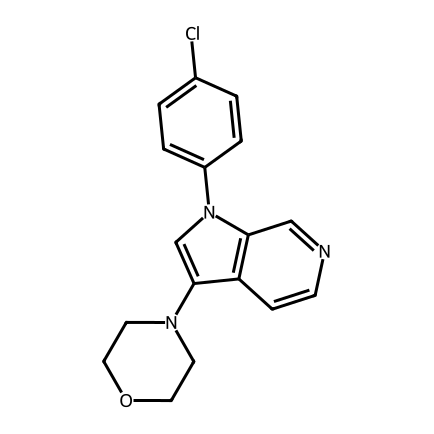 Clc1ccc(-n2cc(N3CCOCC3)c3ccncc32)cc1